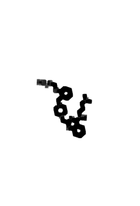 CN(C)CCCNc1nc(CN2CCN(Cc3ccccc3OCC(=O)O)CC2)nc2ccccc12